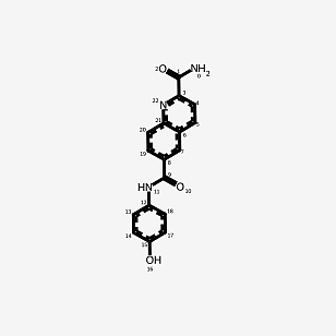 NC(=O)c1ccc2cc(C(=O)Nc3ccc(O)cc3)ccc2n1